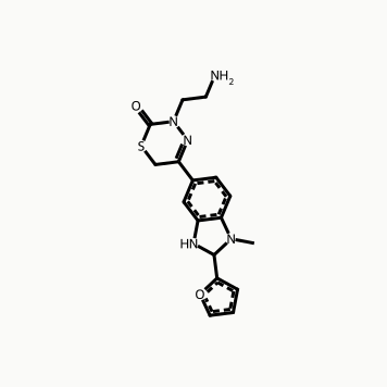 CN1c2ccc(C3=NN(CCN)C(=O)SC3)cc2NC1c1ccco1